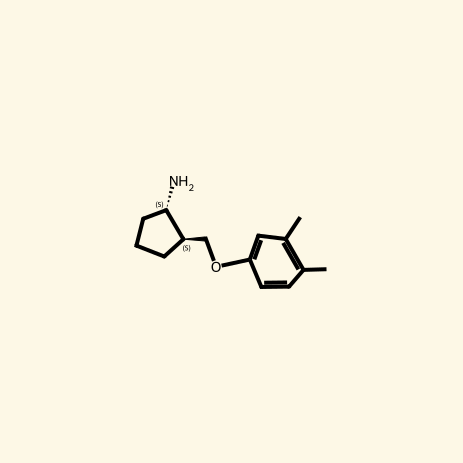 Cc1ccc(OC[C@H]2CCC[C@@H]2N)cc1C